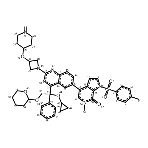 Cc1ccc(S(=O)(=O)n2ccc3c(-c4ccc5nc(N6CC(OC7CCNCC7)C6)nc([C@@](COC6CCCCO6)(OC6CC6)c6ccccc6)c5c4)cn(C)c(=O)c32)cc1